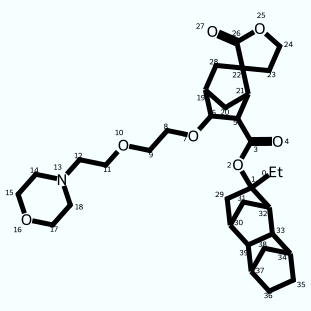 CCC1(OC(=O)C2C(OCCOCCN3CCOCC3)C3CC2C2(CCOC2=O)C3)CC2CC1C1C3CCC(C3)C21